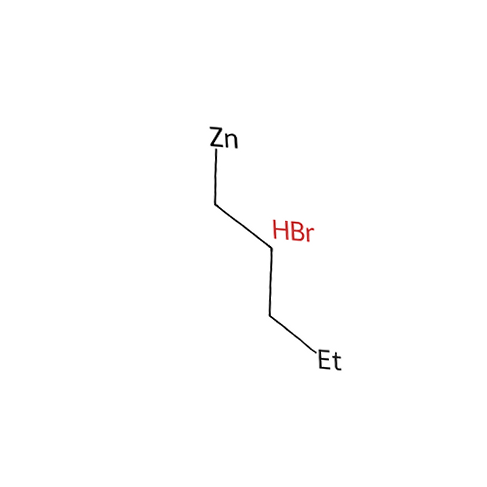 Br.CCCC[CH2][Zn]